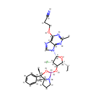 CC[C@H]1O[C@@H](n2cnc3c(OCCC#N)nc(C)nc32)[C@@H](F)C1O[P@]1O[C@@](C)(c2ccccc2)[C@H]2CCCN21